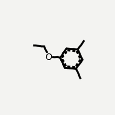 CCOc1cc(C)cc(C)c1